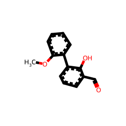 COc1ccccc1-c1cccc(C=O)c1O